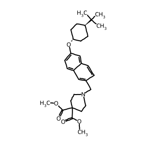 COC(=O)C1(C(=O)OC)CCN(Cc2ccc3cc(O[C@H]4CC[C@H](C(C)(C)C)CC4)ccc3c2)CC1